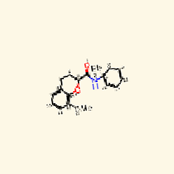 CC[C@@]1(NC(=O)C2CCc3cccc(OC)c3O2)C=CC=CC1